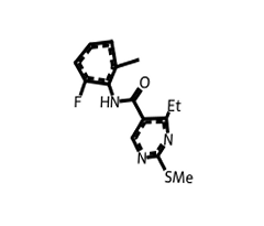 CCc1nc(SC)ncc1C(=O)Nc1c(C)cccc1F